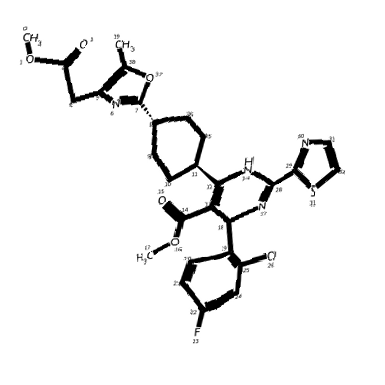 COC(=O)Cc1nc([C@H]2CC[C@H](C3=C(C(=O)OC)C(c4ccc(F)cc4Cl)N=C(c4nccs4)N3)CC2)oc1C